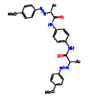 COc1ccc(/N=N/C(C(C)=O)C(=O)Nc2ccc(NC(=O)C(/N=N/c3ccc(OC)cc3)C(C)=O)cc2)cc1